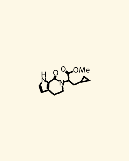 COC(=O)C(CC1CC1)N1CCc2cc[nH]c2C1=O